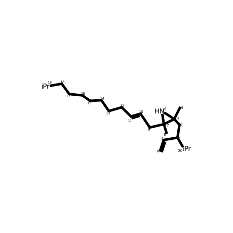 C=CC(CC1(C)NC1(C)C/C=C/CCCCCCCC(C)C)C(C)C